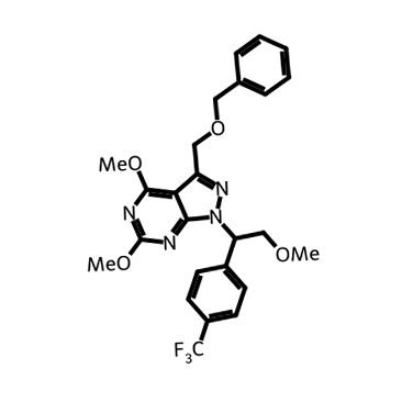 COCC(c1ccc(C(F)(F)F)cc1)n1nc(COCc2ccccc2)c2c(OC)nc(OC)nc21